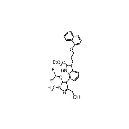 CCOC(=O)c1[nH]c2c(-c3c(CO)nn(C)c3OC(F)F)cccc2c1CCCOc1cccc2ccccc12